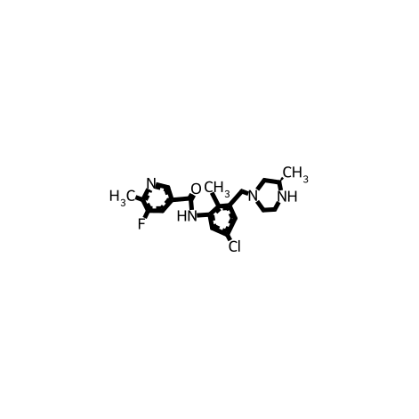 Cc1ncc(C(=O)Nc2cc(Cl)cc(CN3CCN[C@@H](C)C3)c2C)cc1F